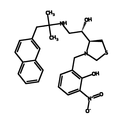 CC(C)(Cc1ccc2ccccc2c1)NC[C@H](O)[C@H]1CSCN1Cc1cccc([N+](=O)[O-])c1O